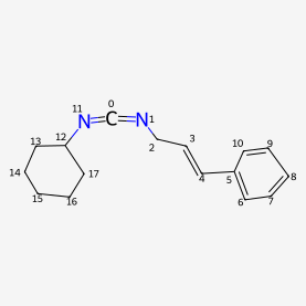 C(=NCC=Cc1ccccc1)=NC1CCCCC1